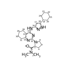 CN(C)C(=O)[C@@H]1CCCN1c1nc2c(c(Nc3cc(C4CCCCC4)[nH]n3)n1)CCCC2